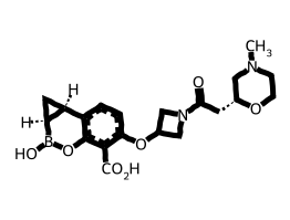 CN1CCO[C@H](CC(=O)N2CC(Oc3ccc4c(c3C(=O)O)OB(O)[C@H]3C[C@@H]43)C2)C1